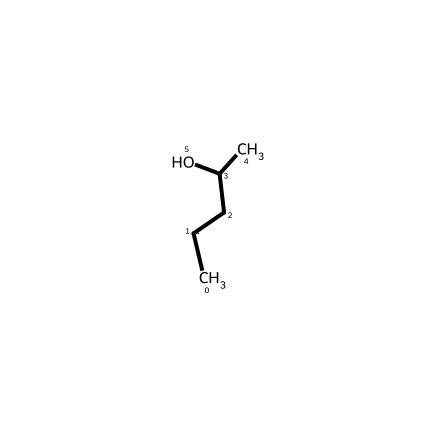 C[CH]CC(C)O